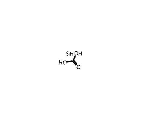 O=C(O)O.[SiH4]